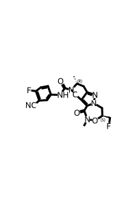 C[C@@H]1Cc2nn3c(c2CN1C(=O)Nc1ccc(F)c(C#N)c1)C(=O)N(C)O[C@H](CF)C3